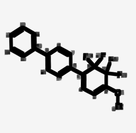 CCOC1=CC=C(c2ccc(-c3ccccc3)cc2)C(F)(F)C1(F)F